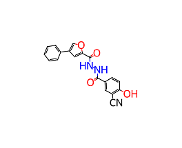 N#Cc1cc(C(=O)NNC(=O)c2cc(-c3ccccc3)co2)ccc1O